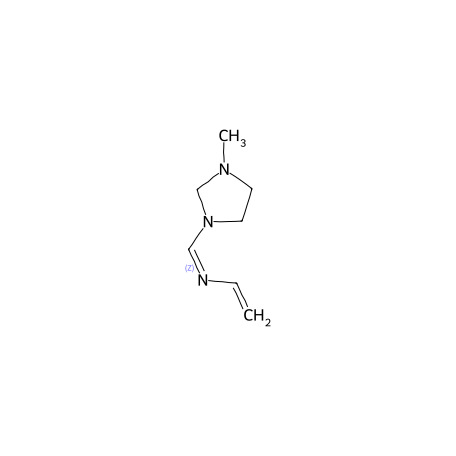 C=C/N=C\N1CCN(C)C1